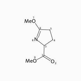 COC(=O)C1CCC(OC)=N1